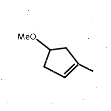 COC1CC=C(C)C1